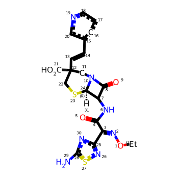 CCON=C(C(=O)NC1C(=O)N2CC(C=Cc3cccnc3)(C(=O)O)CS[C@H]12)c1nsc(N)n1